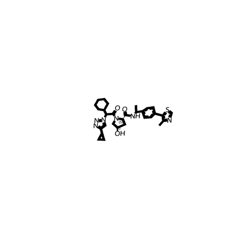 Cc1ncsc1-c1ccc(C(C)NC(=O)[C@@H]2C[C@@H](O)CN2C(=O)C(C2CCCCC2)n2cc(C3CC3)nn2)cc1